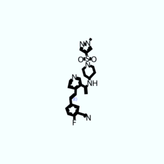 C=C(NC1CCN(S(=O)(=O)c2cnn(C)c2)CC1)c1cnccc1/C=C/c1ccc(F)c(C#N)c1